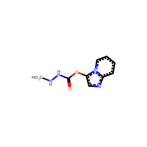 O=C(O)NNC(=O)Oc1cnc2ccccn12